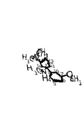 CNC1(c2cccc(OC)c2)C=CC=C(N(C)C)C1